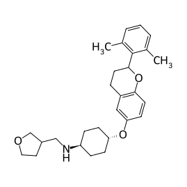 Cc1cccc(C)c1C1CCc2cc(O[C@H]3CC[C@H](NCC4CCOC4)CC3)ccc2O1